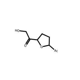 CC(=O)C1CCC(C(=O)CO)O1